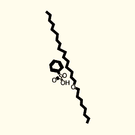 CCCCCCCCCCCCCCCCOCCCCCCCC.O=S(=O)(O)c1ccccc1